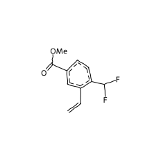 C=Cc1cc(C(=O)OC)ccc1C(F)F